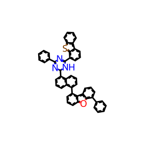 c1ccc(C2=NC(c3cccc4c(-c5cccc6oc7c(-c8ccccc8)cccc7c56)cccc34)NC(c3cccc4c3sc3ccccc34)=N2)cc1